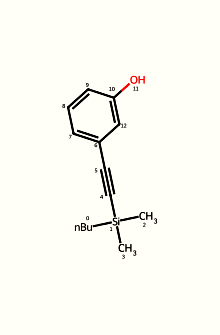 CCCC[Si](C)(C)C#Cc1cccc(O)c1